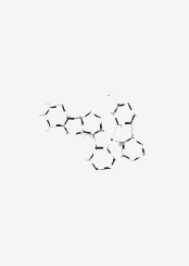 Brc1ccc2c(c1)C1(c3ccccc3-2)c2ccccc2-c2c1ccc1c2oc2ccccc21